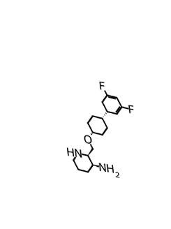 N[C@H]1CCCN[C@H]1CO[C@H]1CC[C@@H](C2C=C(F)C=C(F)C2)CC1